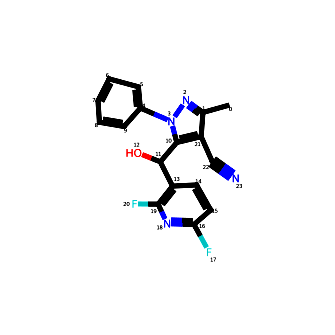 Cc1nn(-c2ccccc2)c(C(O)c2ccc(F)nc2F)c1C#N